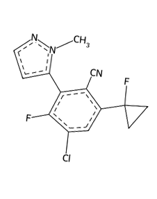 Cn1nccc1-c1c(F)c(Cl)cc(C2(F)CC2)c1C#N